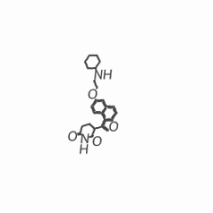 O=C1CCC(c2coc3ccc4cc(OCCNC5CCCCC5)ccc4c23)C(=O)N1